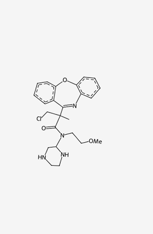 COCCN(C(=O)C(C)(CCl)C1=Nc2ccccc2Oc2ccccc21)C1CNCCN1